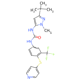 Cn1nc(C(C)(C)C)cc1NC(=O)Nc1ccc(Sc2ccncc2)c(C(F)(F)F)c1